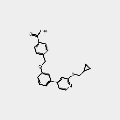 O=C(O)c1ccc(COc2cccc(-c3ccnc(OCC4CC4)c3)c2)cc1